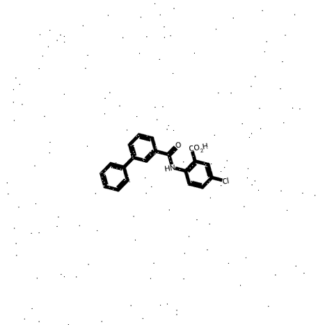 O=C(Nc1ccc(Cl)cc1C(=O)O)c1cccc(-c2ccccc2)c1